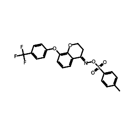 Cc1ccc(S(=O)(=O)ON=C2CCOc3c(Oc4ccc(C(F)(F)F)cc4)cccc32)cc1